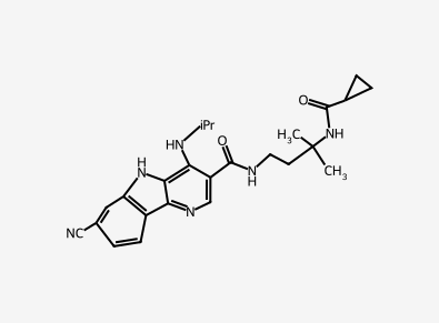 CC(C)Nc1c(C(=O)NCCC(C)(C)NC(=O)C2CC2)cnc2c1[nH]c1cc(C#N)ccc12